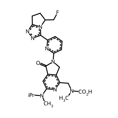 CC(C)N(C)c1cc2c(c(CN(C)C(=O)O)n1)CN(c1cccc(-c3nnc4n3C(CF)CC4)n1)C2=O